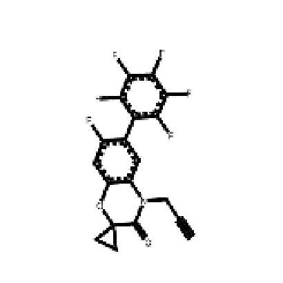 C#CCN1C(=O)C2(CC2)Oc2cc(F)c(-c3c(F)c(F)c(F)c(F)c3F)cc21